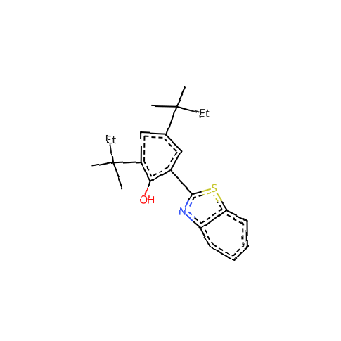 CCC(C)(C)c1cc(-c2nc3ccccc3s2)c(O)c(C(C)(C)CC)c1